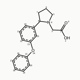 O=C(O)CN1CCCC1c1cccc(Oc2ccccc2)c1